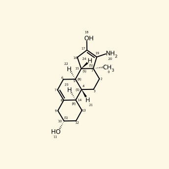 C[C@]12CC[C@H]3[C@@H](CC=C4C[C@@H](O)CC[C@@H]43)[C@@H]1CC(O)=C2N